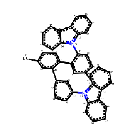 N#Cc1ccc(-c2cc(C#N)ccc2-n2c3ccccc3c3ccccc32)c(-c2cccc(-n3c4ccccc4c4ccccc43)c2)c1